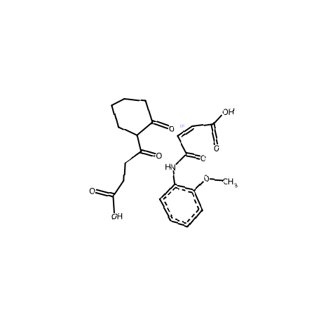 COc1ccccc1NC(=O)/C=C\C(=O)O.O=C(O)CCC(=O)C1CCCCC1=O